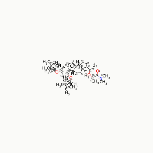 CC(O[C@@H](C)C(=O)N(C)C)C1=CC[C@H]2C3=CC=C4C[C@@H](O[Si](C)(C)C(C)(C)C)C[C@H](O[Si](C)(C)C(C)(C)C)[C@]4(C)[C@H]3CC[C@]12C